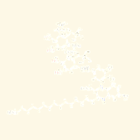 CCCCCCCCCCCCCCCCCCCCCCC=CC(=Nc1cc(CC)cc(CC)c1)C(CCCCCCCC)=Nc1cc(CC)cc(CC)c1.CCCCc1cc(O)c(O)c(C(=O)[O-])c1C[Si](C)(C)C.CCCCc1cc(O)c(O)c(C(=O)[O-])c1C[Si](C)(C)C.[Ni+2]